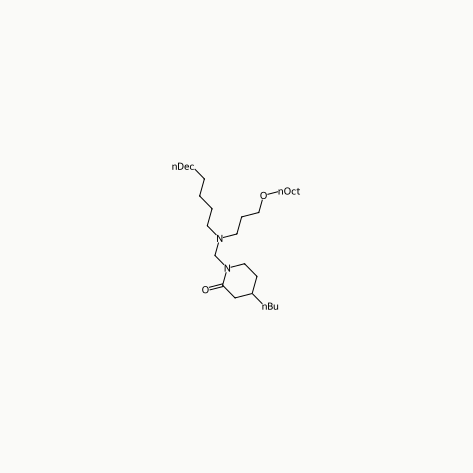 CCCCCCCCCCCCCCN(CCCOCCCCCCCC)CN1CCC(CCCC)CC1=O